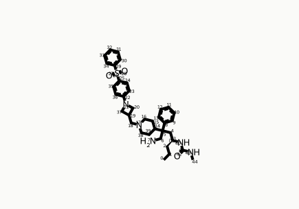 CCC[C@@H](CC(CN)(c1ccccc1)C1CCN(CC2CN(c3ccc(S(=O)(=O)c4ccccc4)cc3)C2)CC1)NC(=O)NC